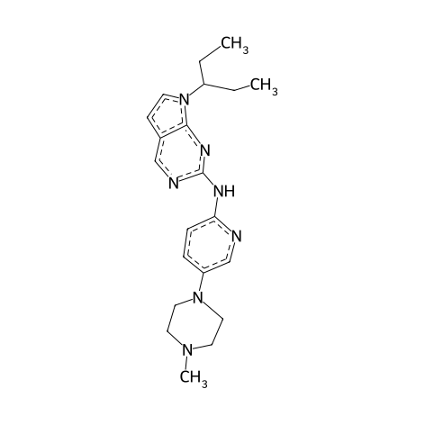 CCC(CC)n1ccc2cnc(Nc3ccc(N4CCN(C)CC4)cn3)nc21